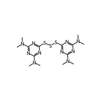 CN(C)c1nc(SSSc2nc(N(C)C)nc(N(C)C)n2)nc(N(C)C)n1